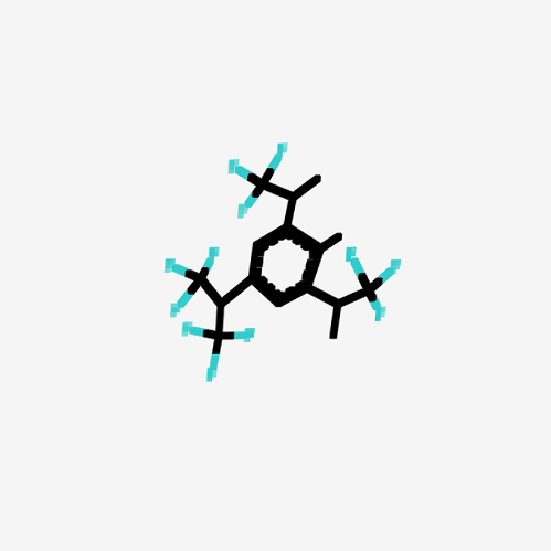 Cc1c(C(C)C(F)(F)F)cc(C(C(F)(F)F)C(F)(F)F)cc1C(C)C(F)(F)F